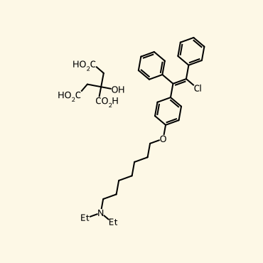 CCN(CC)CCCCCCCOc1ccc(C(=C(Cl)c2ccccc2)c2ccccc2)cc1.O=C(O)CC(O)(CC(=O)O)C(=O)O